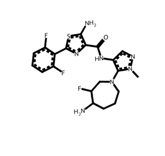 Cn1ncc(NC(=O)c2nc(-c3c(F)cccc3F)sc2N)c1N1CCCC(N)C(F)C1